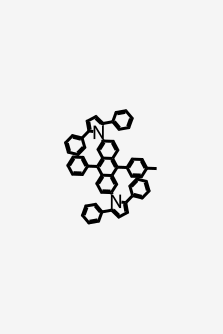 Cc1ccc(-c2c3ccc(-n4c(-c5ccccc5)ccc4-c4ccccc4)cc3c(-c3ccccc3)c3ccc(-n4c(-c5ccccc5)ccc4-c4ccccc4)cc23)cc1